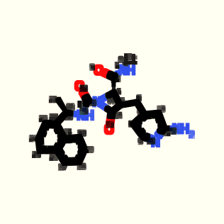 CCNC(=O)[C@@H]1C(Cc2ccnc(N)c2)C(=O)N1C(=O)N[C@H](C)c1cccc2ccccc12